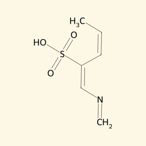 C=N/C=C(\C=C/C)S(=O)(=O)O